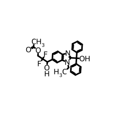 CCn1c(C(O)(c2ccccc2)c2ccccc2)nc2ccc(C(O)C(F)(F)COC(C)=O)cc21